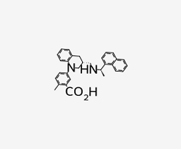 Cc1ccc(N2C[C@@H](CN[C@H](C)c3cccc4ccccc34)Cc3ccccc32)cc1C(=O)O